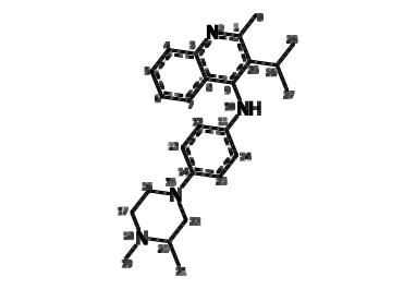 Cc1nc2ccccc2c(Nc2ccc(N3CCN(C)C(C)C3)cc2)c1C(C)C